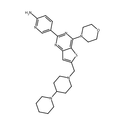 Nc1ccc(-c2nc(N3CCOCC3)c3sc(CN4CCC(N5CCCCC5)CC4)cc3n2)cn1